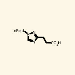 CCCCCn1cnc(CCC(=O)O)n1